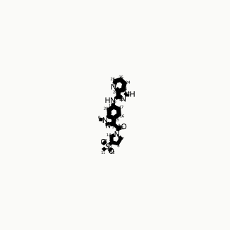 Cn1nc(C(=O)N2CCC(S(C)(=O)=O)C2)c2ccc(Nc3n[nH]c4cccnc34)cc21